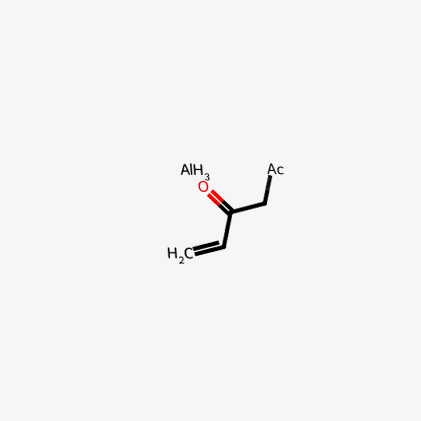 C=CC(=O)CC(C)=O.[AlH3]